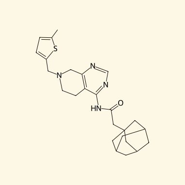 Cc1ccc(CN2CCc3c(ncnc3NC(=O)CC34CC5CC(CC(C5)C3)C4)C2)s1